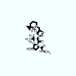 CNC(=O)[C@@H]1C[C@@H](O)CN1C(=O)[C@@H](n1cc(CN2CCCC3(CC3)S2(=O)=O)nn1)C(C)(C)C